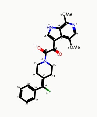 COc1ncc(OC)c2c(C(=O)C(=O)N3CCC(=C(F)c4ccccc4)CC3)c[nH]c12